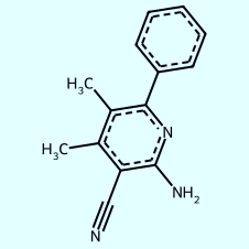 Cc1c(-c2ccccc2)nc(N)c(C#N)c1C